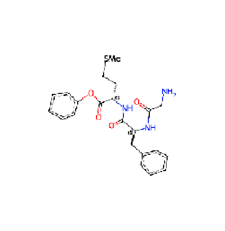 CSCC[C@H](NC(=O)[C@H](Cc1ccccc1)NC(=O)CN)C(=O)Oc1ccccc1